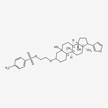 Cc1ccc(S(=O)(=O)OCCOC2CC[C@]3(C)[C@@H]4CC[C@]5(C)C(c6ccoc6)CC[C@@]5(O)[C@@H]4CCC3(O)C2)cc1